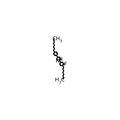 CCCCCCCCc1ccc(-c2cnc(-c3ccc(CCCCCCCC)c(F)c3)nc2)cc1